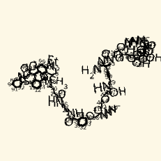 CCN1CCCc2cc3c(-c4ccccc4C(=O)N(C)CCCC(=O)NCCNC(=O)c4cccc(OCC(N=[N+]=[N-])OCCOCC(O)NCC#Cc5cn(C6CC(OCN=[N+]=[N-])C(COP(=O)(O)OP(=O)(O)OP(=O)(O)O)O6)c(=O)nc5N)c4)c(-c4nc5ccccc5s4)c(=O)oc3cc21